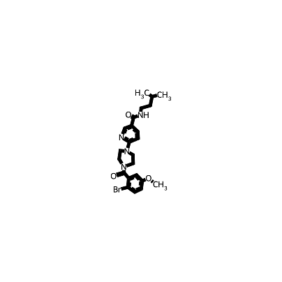 COc1ccc(Br)c(C(=O)N2CCN(c3ccc(C(=O)NCCC(C)C)cn3)CC2)c1